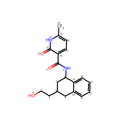 O=C(NC1CC(CCO)Cc2ccccc21)c1ccc(C(F)(F)F)[nH]c1=O